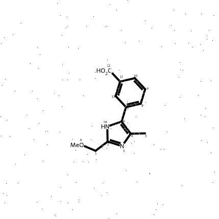 COCc1nc(C)c(-c2cccc(C(=O)O)c2)[nH]1